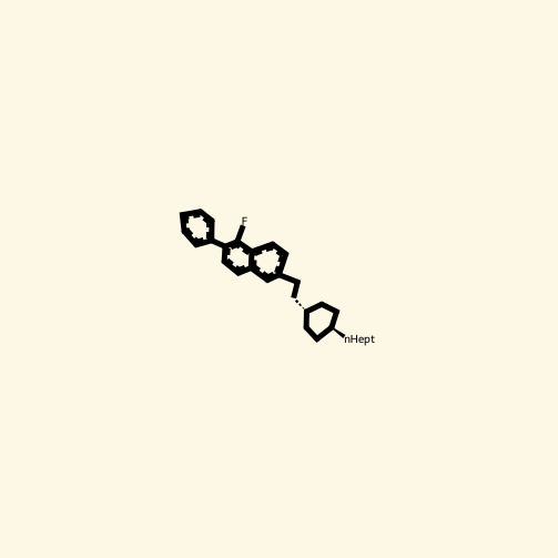 CCCCCCC[C@H]1CC[C@H](CCc2ccc3c(F)c(-c4ccccc4)ccc3c2)CC1